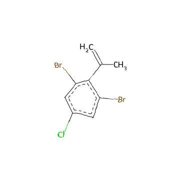 C=C(C)c1c(Br)cc(Cl)cc1Br